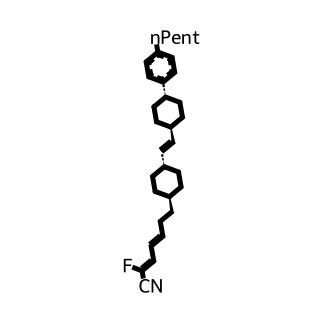 CCCCCc1ccc([C@H]2CC[C@H](/C=C/[C@H]3CC[C@H](CCC=CC=C(F)C#N)CC3)CC2)cc1